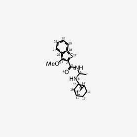 COc1c(C(=O)NC(C)NC2CC3CCC2CC3)sc2ccccc12